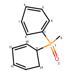 CP(=O)(c1ccccc1)C1C=CC=CC1